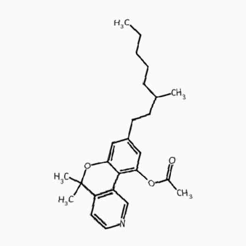 CCCCCC(C)CCc1cc(OC(C)=O)c2c(c1)OC(C)(C)c1ccncc1-2